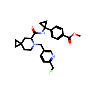 COC(=O)c1ccc(C2(NC(=O)C3CC4(CCN3Cc3ccc(CF)nc3)CC4)CC2)cc1